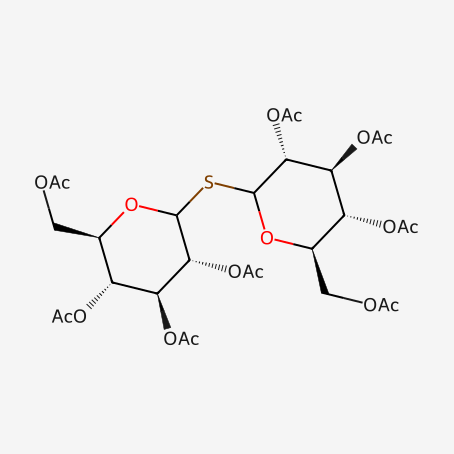 CC(=O)OC[C@H]1OC(SC2O[C@H](COC(C)=O)[C@@H](OC(C)=O)[C@H](OC(C)=O)[C@H]2OC(C)=O)[C@H](OC(C)=O)[C@@H](OC(C)=O)[C@@H]1OC(C)=O